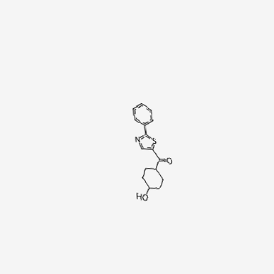 O=C(c1cnc(-c2ccccc2)s1)C1CCC(O)CC1